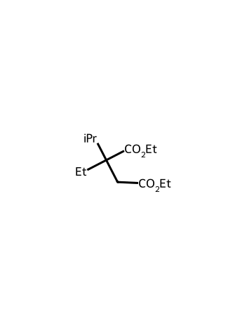 CCOC(=O)CC(CC)(C(=O)OCC)C(C)C